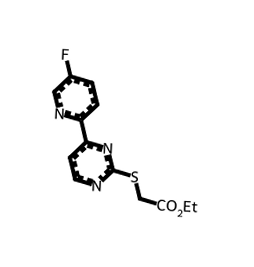 CCOC(=O)CSc1nccc(-c2ccc(F)cn2)n1